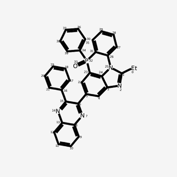 CCc1nc2cc(-c3nc4ccccc4nc3-c3ccccc3)cc3c2n1-c1ccccc1P3(=O)c1ccccc1